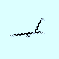 CCCCCCCCC(O)CCCOC(CCC)CCCCCCCC